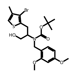 COc1ccc(CN(C(=O)OC(C)(C)C)C(CO)Cc2scc(C)c2Br)c(OC)c1